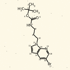 CC(C)(C)OC(=O)NCCCn1ccc2cc(Br)cnc21